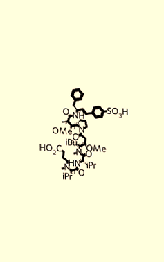 CC[C@H](C)[C@@H]([C@@H](CC(=O)N1CCC[C@H]1[C@H](OC)[C@@H](C)C(=O)N[C@H](C=Cc1ccc(S(=O)(=O)O)cc1)Cc1ccccc1)OC)N(C)C(=O)[C@@H](NC(=O)[C@H](C(C)C)N(C)CCCC(=O)O)C(C)C